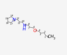 CCCCCOCCCNCCCN1CCCC1